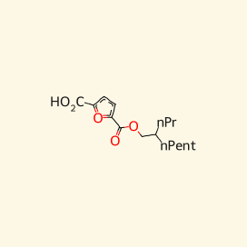 CCCCCC(CCC)COC(=O)c1ccc(C(=O)O)o1